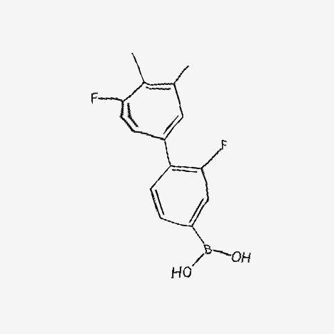 Cc1cc(-c2ccc(B(O)O)cc2F)cc(F)c1C